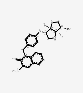 CCOC(=O)c1cc2ccccc2n(Cc2ccc(O[C@H]3CO[C@H]4[C@@H]3OC[C@@H]4OC(C)=O)cc2)c1=O